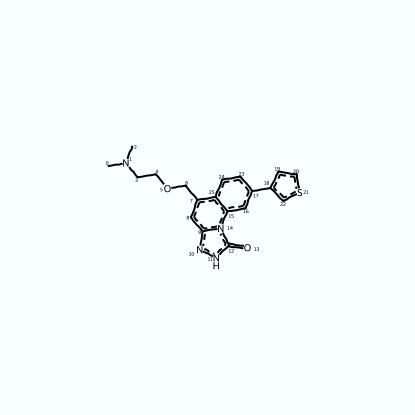 CN(C)CCOCc1cc2n[nH]c(=O)n2c2cc(-c3ccsc3)ccc12